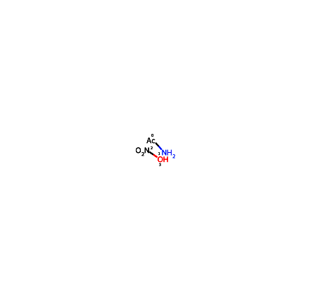 CC(N)=O.O=[N+]([O-])O